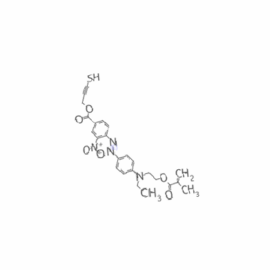 C=C(C)C(=O)OCCN(CC)c1ccc(/N=N/c2ccc(C(=O)OCC#CS)cc2[N+](=O)[O-])cc1